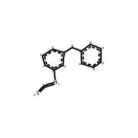 S=C=Nc1cccc(Cc2ccccc2)c1